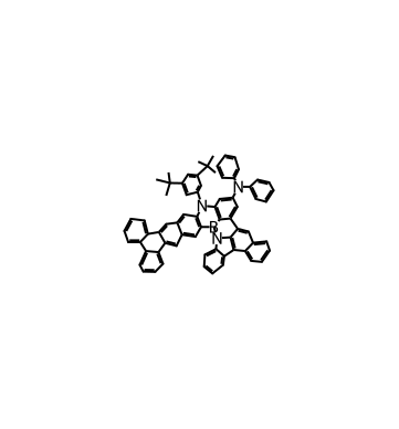 CC(C)(C)c1cc(N2c3cc4cc5c6ccccc6c6ccccc6c5cc4cc3B3c4c(cc(N(c5ccccc5)c5ccccc5)cc42)-c2cc4ccccc4c4c5ccccc5n3c24)cc(C(C)(C)C)c1